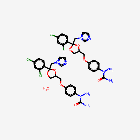 NC(=O)N(N)c1ccc(OCC2COC(Cn3ccnc3)(c3ccc(Cl)cc3Cl)O2)cc1.NC(=O)N(N)c1ccc(OCC2COC(Cn3ccnc3)(c3ccc(Cl)cc3Cl)O2)cc1.O